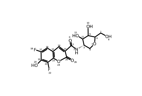 O=C(N[C@H]1COC(CO)C(O)C1O)c1cc2cc(F)c(O)c(F)c2oc1=O